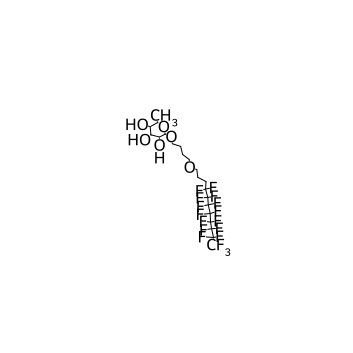 C[C@@H]1O[C@@H](OCCCCOCCCC(F)(F)C(F)(F)C(F)(F)C(F)(F)C(F)(F)C(F)(F)C(F)(F)C(F)(F)F)[C@H](O)[C@H](O)[C@H]1O